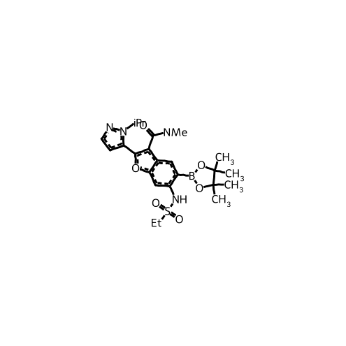 CCS(=O)(=O)Nc1cc2oc(-c3ccnn3C(C)C)c(C(=O)NC)c2cc1B1OC(C)(C)C(C)(C)O1